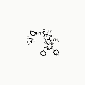 CC(C)[C@H](NC(=O)[C@H](C)NC(=O)[C@H](Cc1ccccc1)NC(=O)c1ccncc1)C(=O)C(=O)NCc1cccc(S(N)(=O)=O)c1